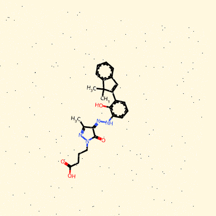 CC1=NN(CCCC(=O)O)C(=O)/C1=N\Nc1cccc(C2=Cc3ccccc3C2(C)C)c1O